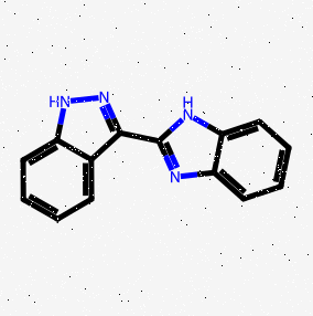 [c]1ccc2[nH]nc(-c3nc4ccccc4[nH]3)c2c1